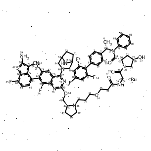 C[C@@H](c1ccc(-c2c(F)cc(F)cc2F)cc1)N(C(=O)[C@@H]1C[C@@H](O)CN1C(=O)[C@@H](NC(=O)CCOCCCN1CCC[C@H]1COc1nc(N2CC3CCC(C2)N3)c2cc(C(F)(F)F)c(-c3ccc(F)c4sc(N)c(C#N)c34)c(F)c2n1)C(C)(C)C)c1ccccc1